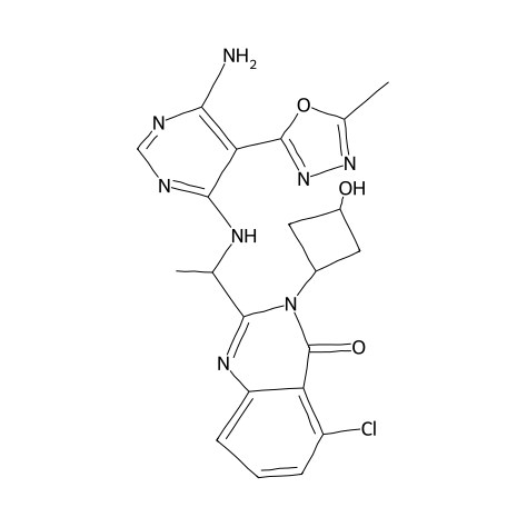 Cc1nnc(-c2c(N)ncnc2NC(C)c2nc3cccc(Cl)c3c(=O)n2C2CC(O)C2)o1